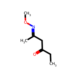 CCC(=O)C/C(C)=N/OC